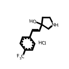 Cl.OC1(/C=C/c2ccc(C(F)(F)F)cc2)CCNC1